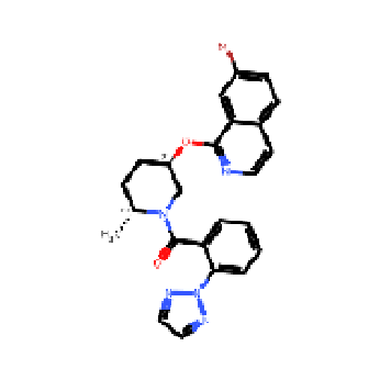 C[C@@H]1CC[C@@H](Oc2nccc3ccc(Br)cc23)CN1C(=O)c1ccccc1-n1nccn1